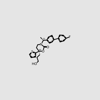 C[C@@H](c1ccc(-c2ccc(F)cc2)cc1)N1CC[C@](CCCO)(c2cccs2)OC1=O